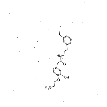 CCc1cccc(CCCNC(=O)Cc2ccc(OCCN)c(O)c2)c1